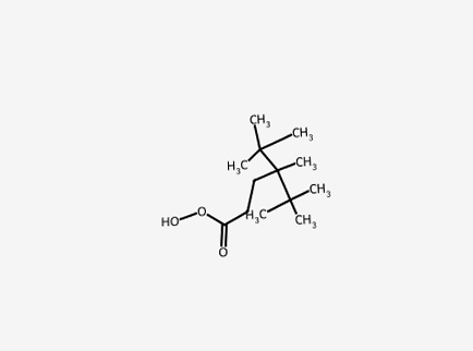 CC(C)(C)C(C)(CCC(=O)OO)C(C)(C)C